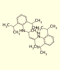 [Li][CH2]C(=CC(C)Nc1c(C(C)C)cccc1C(C)C)Nc1c(C(C)C)cccc1C(C)C